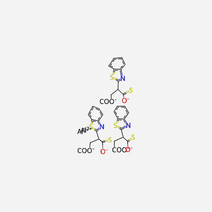 O=C([O-])CC(C([O-])=S)c1nc2ccccc2s1.O=C([O-])CC(C([O-])=S)c1nc2ccccc2s1.O=C([O-])CC(C([O-])=S)c1nc2ccccc2s1.[Al+3].[Al+3]